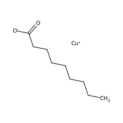 CCCCCCCCC(=O)[O-].[Cu+]